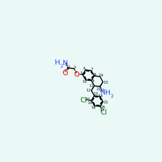 NC(=O)COc1ccc2c(c1)C(Cc1ccc(Cl)cc1Cl)C(N)CC2